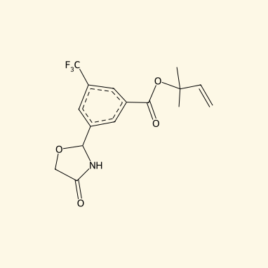 C=CC(C)(C)OC(=O)c1cc(C2NC(=O)CO2)cc(C(F)(F)F)c1